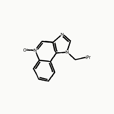 CC(C)Cn1cnc2c[n+]([O-])c3ccccc3c21